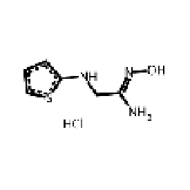 Cl.NC(CNc1cccs1)=NO